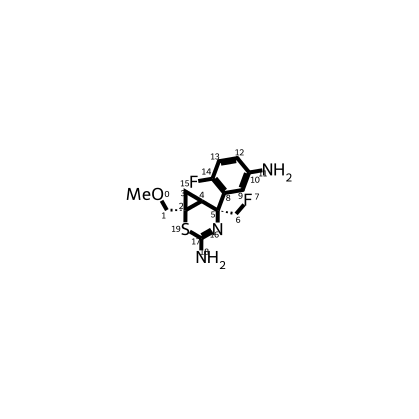 COC[C@]12CC1[C@@](CF)(c1cc(N)ccc1F)N=C(N)S2